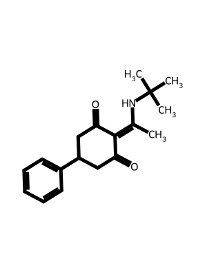 CC(NC(C)(C)C)=C1C(=O)CC(c2ccccc2)CC1=O